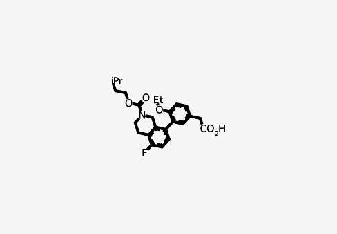 CCOc1ccc(CC(=O)O)cc1-c1ccc(F)c2c1CN(C(=O)OCCC(C)C)CC2